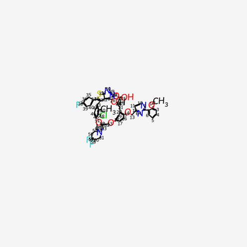 COc1ccccc1-c1nccc(COc2ccc3cc2C[C@H](C(=O)O)Oc2ncnc4sc(-c5ccc(F)cc5)c(c24)-c2ccc(c(Cl)c2C)O[C@H](CN2CCC(F)(F)CC2)CO3)n1